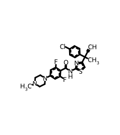 C#CC(C)(c1ccc(Cl)cc1)c1csc(NC(=O)c2c(F)cc(N3CCN(C)CC3)cc2F)n1